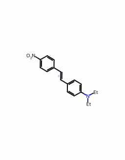 CCN(CC)c1ccc(/C=C/c2ccc([N+](=O)[O-])cc2)cc1